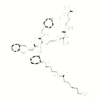 CCC(=O)NCCNC(=O)/N=C(/N)NCCC[C@@H](NC(=O)[C@H](c1cccc(NC(=O)CCCNC(=O)CCCCCN)c1)N1Cc2ccccc2C1)C(=O)NCc1ccc(O)cc1